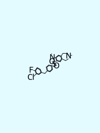 CN1CCc2cc(N(C)C)c(S(=O)(=O)c3ccc(Cc4ccc(F)c(Cl)c4)cc3)cc2CC1